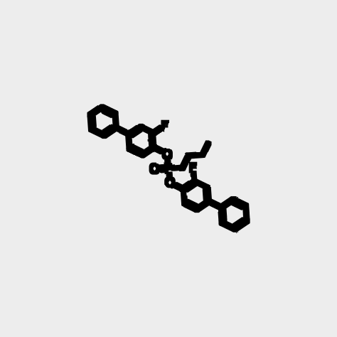 CCCCP(=O)(Oc1ccc(-c2ccccc2)cc1F)Oc1ccc(-c2ccccc2)cc1F